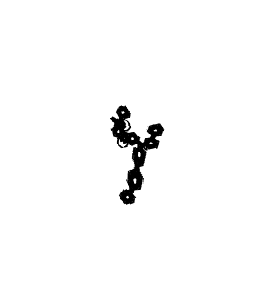 Cc1c(-c2ccccc2)oc2c1ccc1oc3cc(N(c4ccc(-c5ccc(-c6ccccc6)cc5)cc4)c4cccc(-c5ccccc5)c4)ccc3c12